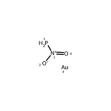 O=[N+]([O-])P.[Au]